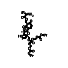 CC(C)OC(=O)OCOP(=O)(OCOC(=O)OC(C)C)OC[C@@]1(CF)O[C@@H](n2ccc(=O)n(COC(=O)C(N)C(C)C)c2=O)[C@](C)(O)[C@@H]1O